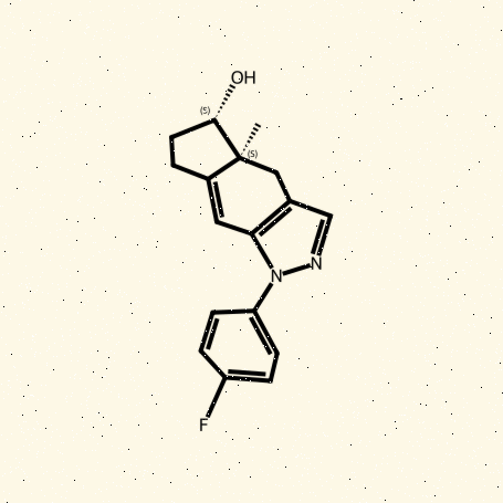 C[C@]12Cc3cnn(-c4ccc(F)cc4)c3C=C1CC[C@@H]2O